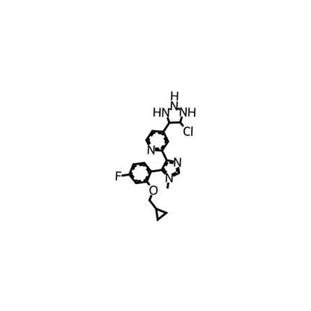 Cn1cnc(-c2cc(C3NNNC3Cl)ccn2)c1-c1ccc(F)cc1OCC1CC1